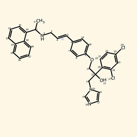 CC(NC/C=C/c1ccc(OCC(O)(Cn2ccnc2)c2ccc(Cl)cc2Cl)cc1)c1cccc2ccccc12